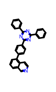 c1ccc(-c2nc(-c3ccccc3)nc(-c3ccc(-c4cccc5cnccc45)cc3)n2)cc1